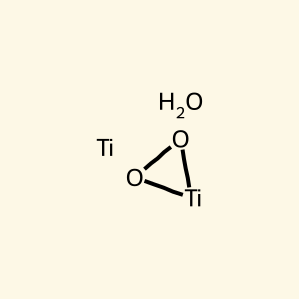 O.[O]1[O][Ti]1.[Ti]